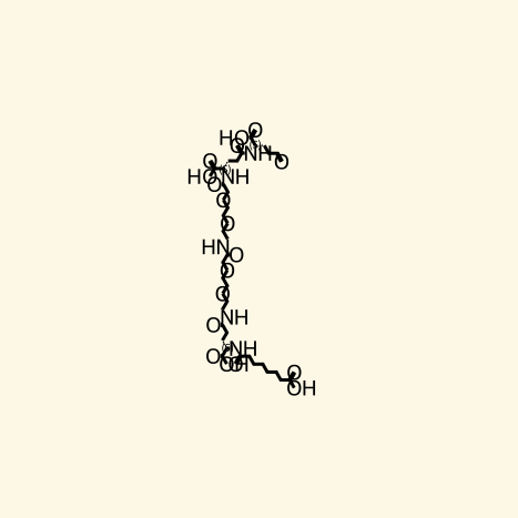 O=CCC[C@H](NC(=O)CC[C@H](NC(=O)COCCOCCNC(=O)COCCOCCNC(=O)CC[C@H](NC(=O)CCCCCCC(=O)O)C(=O)O)C(=O)O)C(=O)O